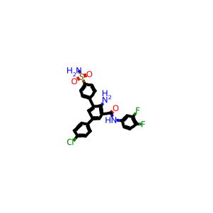 Nc1c(C(=O)Nc2ccc(F)c(F)c2)cc(-c2ccc(Cl)cc2)cc1-c1ccc(S(N)(=O)=O)cc1